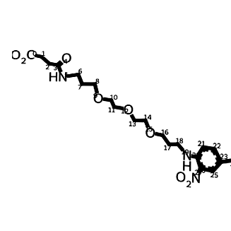 O=C(O)CCC(=O)NCCCOCCOCCOCCCNc1ccc([N+](=O)[O-])cc1[N+](=O)[O-]